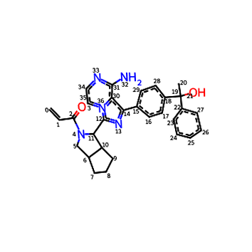 C=CC(=O)N1CC2CCCC2C1c1nc(-c2ccc(C(C)(O)c3ccccc3)cc2)c2c(N)nccn12